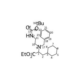 CCOC(=O)C(CC1CCCCC1)N(CCNC(=O)OC(C)(C)C)Cc1ccccc1